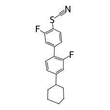 N#CSc1ccc(-c2ccc(C3CCCCC3)cc2F)cc1F